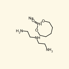 NCCNCCN.O=[PH]1OCCCCCO1.[Na]